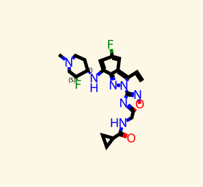 C=Cc1c2cc(F)cc(N[C@@H]3CCN(C)C[C@@H]3F)c2nn1-c1noc(CNC(=O)C2CC2)n1